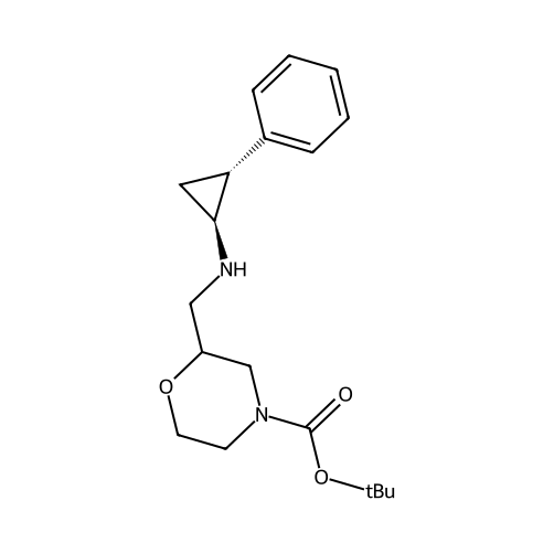 CC(C)(C)OC(=O)N1CCOC(CN[C@H]2C[C@@H]2c2ccccc2)C1